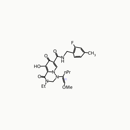 CCC/C(=C/OC)N1CN(CC)C(=O)c2c(O)c(=O)c(C(=O)NCc3ccc(C)cc3F)cn21